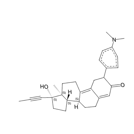 CC#C[C@]1(O)CC[C@H]2[C@@H]3CCC4=CC(=O)C(c5ccc(N(C)C)cc5)CC4=C3CC[C@@]21C